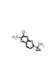 Cc1nc2ccc(C3(C)CC3)nc2nc1Cl